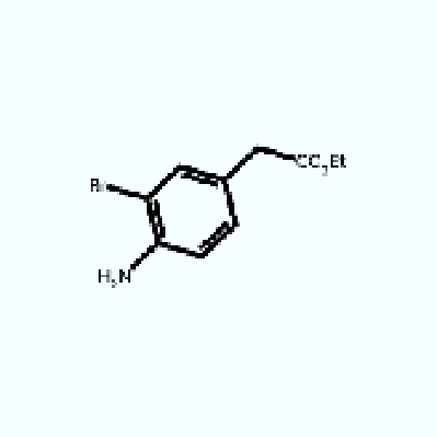 CCOC(=O)Cc1ccc(N)c(Br)c1